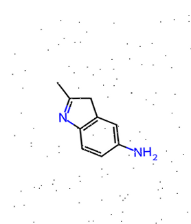 CC1=Nc2ccc(N)cc2C1